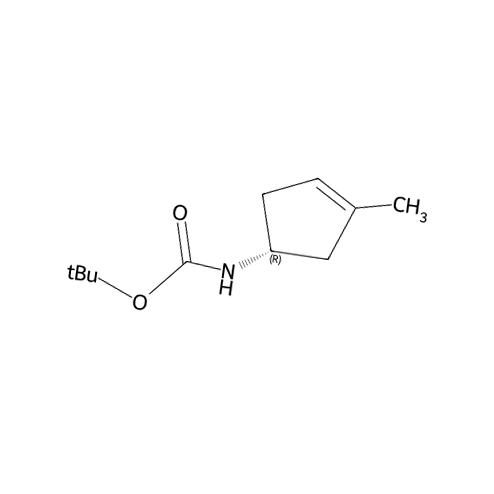 CC1=CC[C@@H](NC(=O)OC(C)(C)C)C1